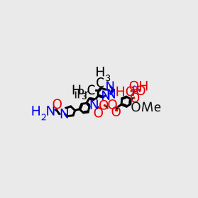 COc1cc(C(=O)OCOC(=O)n2c(-c3cn4ncnc4c(C)c3C)c(C(C)C)c3cc(C4CCN(CC(N)=O)CC4)ccc32)ccc1OP(=O)(O)O